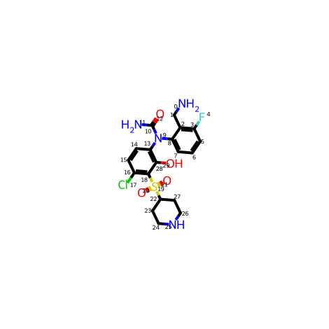 NCc1c(F)cccc1N(C(N)=O)c1ccc(Cl)c(S(=O)(=O)C2CCNCC2)c1O